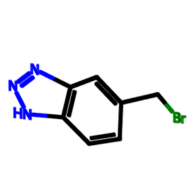 BrCc1ccc2[nH]nnc2c1